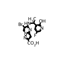 CC(Nc1nc2cc(C(=O)O)nn2cc1Br)c1cc(F)cnc1O